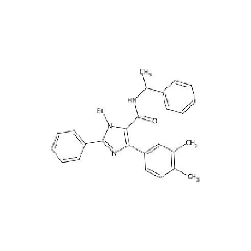 CCn1c(-c2ccccc2)nc(-c2ccc(C)c(C)c2)c1C(=O)NC(C)c1ccccc1